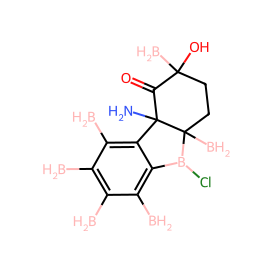 Bc1c(B)c(B)c2c(c1B)B(Cl)C1(B)CCC(B)(O)C(=O)C21N